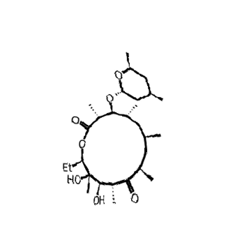 CC[C@H]1OC(=O)[C@H](C)[C@@H](O[C@H]2C[C@H](C)C[C@H](C)O2)[C@H](C)C[C@@H](C)C[C@@H](C)C(=O)[C@H](C)[C@@H](O)[C@]1(C)O